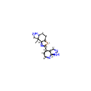 CC1(CN)CCCc2sc(-c3ccnc4[nH]ncc34)nc21